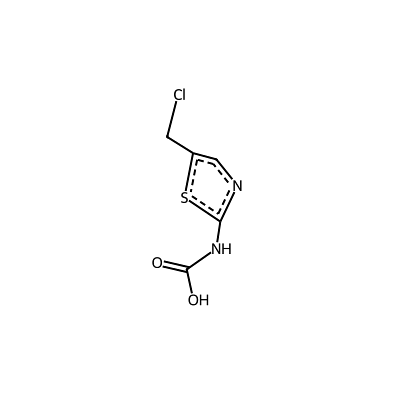 O=C(O)Nc1ncc(CCl)s1